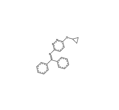 c1ccc(C(=Nc2ccc(OC3CC3)nn2)c2ccccc2)cc1